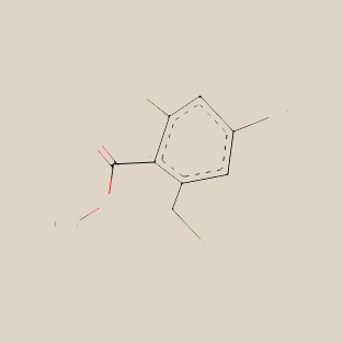 CC(C)(C)OC(=O)c1c(Br)cc(F)cc1CBr